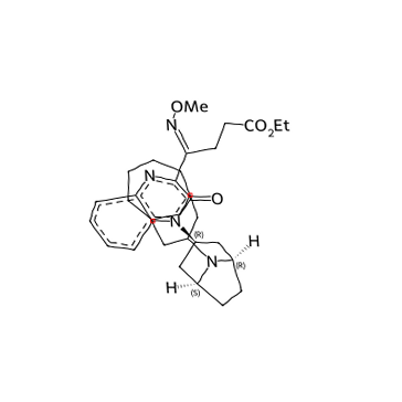 CCOC(=O)CCC(=NOC)c1nc2ccccc2n([C@H]2C[C@H]3CC[C@@H](C2)N3C2CC3CCCCC(C3)C2)c1=O